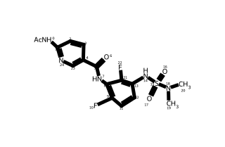 CC(=O)Nc1ccc(C(=O)Nc2c(F)ccc(NS(=O)(=O)N(C)C)c2F)cn1